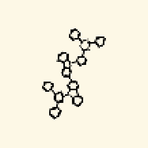 c1ccc(-c2cc(-c3ccccc3)cc(-n3c4ccccc4c4ccc(-c5ccc6c7ccccc7n(-c7cccc(-c8nc(-c9ccccc9)nc(-c9ccccc9)n8)c7)c6c5)cc43)c2)cc1